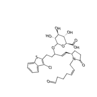 O=CCCC/C=C\CN1C(=O)CC[C@@H]1/C=C/C(CCc1sc2ccccc2c1Cl)OC1O[C@H](C(=O)O)[C@@H](O)[C@H](O)[C@H]1O